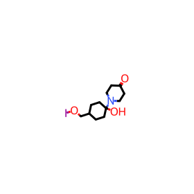 O=C1CCN(C2(O)CCC(COI)CC2)CC1